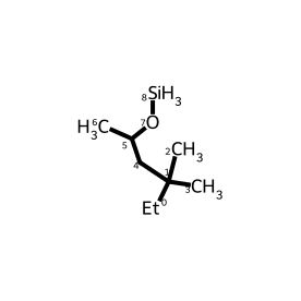 CCC(C)(C)CC(C)O[SiH3]